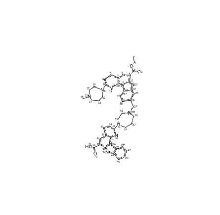 CCOC(=O)c1cc2ccc(N3CCCN(C)CC3)nc2n2c1nc1cc(CN3CCCN(c4ccc5cc(C(=O)O)c6nc7ccccc7n6c5n4)CC3)ccc12